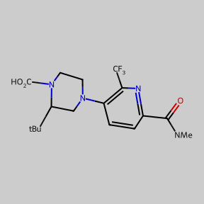 CNC(=O)c1ccc(N2CCN(C(=O)O)C(C(C)(C)C)C2)c(C(F)(F)F)n1